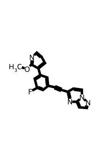 COc1ncccc1-c1cc(F)cc(C#Cc2ccn3nccc3n2)c1